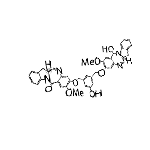 COc1cc2c(cc1OCc1cc(O)cc(COc3cc4c(cc3OC)C(O)N3c5ccccc5C[C@H]3C=N4)c1)N=C[C@@H]1Cc3ccccc3N1C2=O